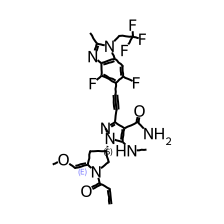 C=CC(=O)N1C[C@@H](n2nc(C#Cc3c(F)cc4c(nc(C)n4CC(F)(F)F)c3F)c(C(N)=O)c2NC)C/C1=C\OC